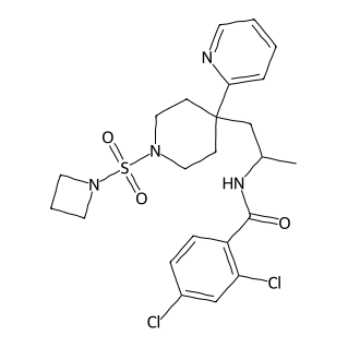 CC(CC1(c2ccccn2)CCN(S(=O)(=O)N2CCC2)CC1)NC(=O)c1ccc(Cl)cc1Cl